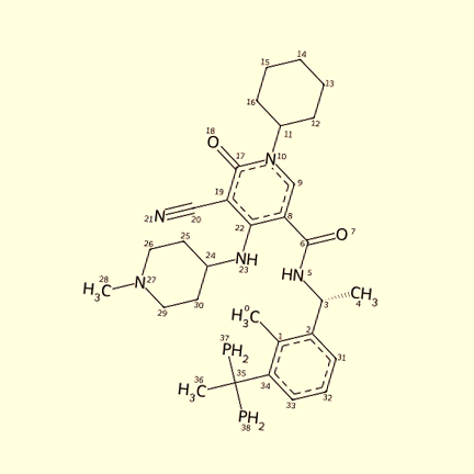 Cc1c([C@@H](C)NC(=O)c2cn(C3CCCCC3)c(=O)c(C#N)c2NC2CCN(C)CC2)cccc1C(C)(P)P